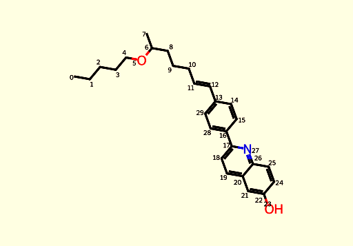 CCCCCOC(C)CCC/C=C/c1ccc(-c2ccc3cc(O)ccc3n2)cc1